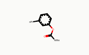 CCCc1cccc(OC(=O)NC)c1